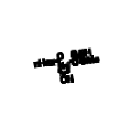 CCCCCCC(=O)N1C[C@H](O)C[C@H]1COP(=O)(O)OC